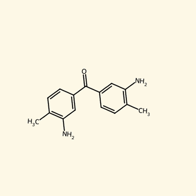 Cc1ccc(C(=O)c2ccc(C)c(N)c2)cc1N